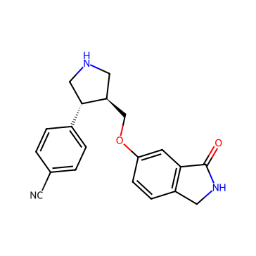 N#Cc1ccc([C@@H]2CNC[C@H]2COc2ccc3c(c2)C(=O)NC3)cc1